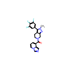 Cn1nc2c(c1-c1cc(F)c(F)c(F)c1)CCN(C(=O)c1cccn3cncc13)C2